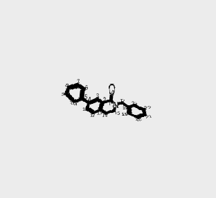 O=C1c2cc(-c3ccccc3)ccc2CCN1Cc1ccccc1